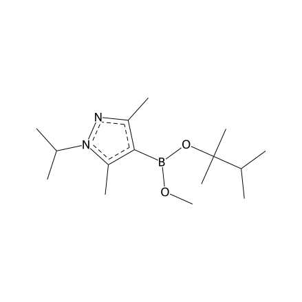 COB(OC(C)(C)C(C)C)c1c(C)nn(C(C)C)c1C